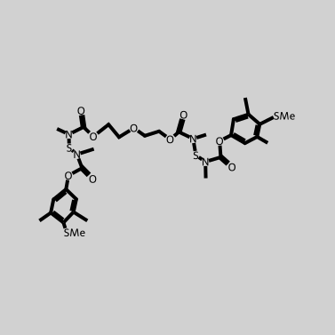 CSc1c(C)cc(OC(=O)N(C)SN(C)C(=O)OCCOCCOC(=O)N(C)SN(C)C(=O)Oc2cc(C)c(SC)c(C)c2)cc1C